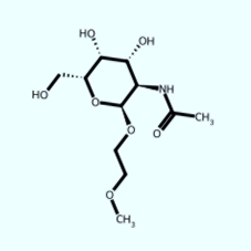 COCCO[C@H]1O[C@H](CO)[C@H](O)[C@H](O)[C@H]1NC(C)=O